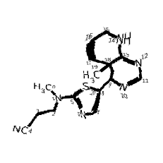 CN(CCC#N)c1ncc(C2N=CN=C3NCC#CC32C)s1